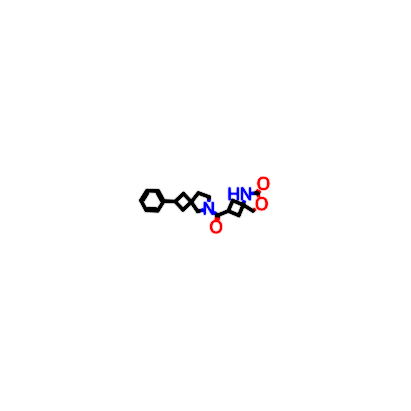 O=C1NC2(CO1)CC(C(=O)N1CCC3(CC(c4ccccc4)C3)C1)C2